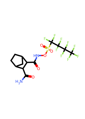 NC(=O)C1C2CCC(C2)C1C(=O)NOS(=O)(=O)C(F)(F)C(F)(F)C(F)(F)C(F)(F)F